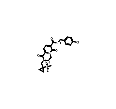 CS(=N)(=O)C1(CN2CCn3c(ccc(C(=O)NCc4ccc(Cl)cc4)c3=O)C2=O)CC1